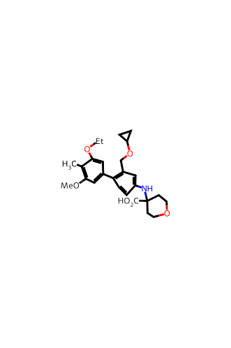 CCOc1cc(-c2ccc(NC3(C(=O)O)CCOCC3)cc2COC2CC2)cc(OC)c1C